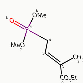 CCOC(=O)C(C)=CCP(=O)(OC)OC